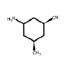 C[C@H]1CC(N)C[C@@H](C#N)C1